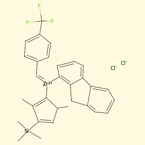 CC1=[C](/[Zr+2](=[CH]/c2ccc(C(F)(F)F)cc2)[c]2cccc3c2Cc2ccccc2-3)C(C)C=C1[Si](C)(C)C.[Cl-].[Cl-]